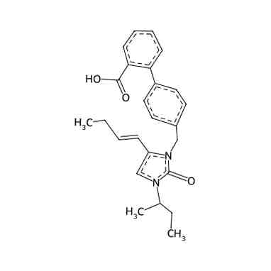 CCC=Cc1cn(C(C)CC)c(=O)n1Cc1ccc(-c2ccccc2C(=O)O)cc1